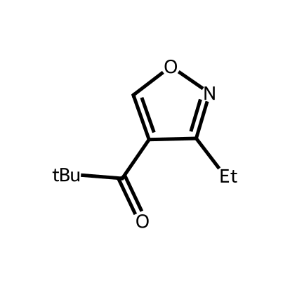 CCc1nocc1C(=O)C(C)(C)C